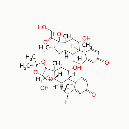 CC1(C)O[C@@H]2C[C@H]3[C@@H]4C[C@H](F)C5=CC(=O)C=C[C@]5(C)[C@H]4[C@@H](O)C[C@]3(C)[C@]2(C(=O)CO)O1.C[C@H]1C[C@H]2[C@@H]3CCC4=CC(=O)C=C[C@]4(C)[C@@]3(F)[C@@H](O)C[C@]2(C)[C@@]1(O)C(=O)CO